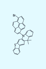 CC1(C)c2ccccc2N(c2ccc3ccc4c(Br)ccc5ccc2c3c54)c2cc3sc4ccccc4c3cc21